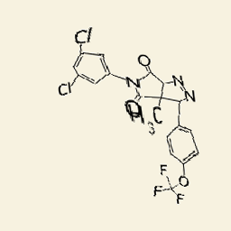 CC12C(=O)N(c3cc(Cl)cc(Cl)c3)C(=O)C1N=NC2c1ccc(OC(F)(F)F)cc1